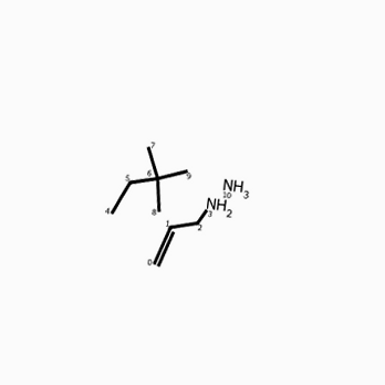 C=CCN.CCC(C)(C)C.N